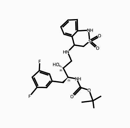 CC(C)(C)OC(=O)N[C@@H](Cc1cc(F)cc(F)c1)[C@H](O)CNC1CS(=O)(=O)Nc2ccccc21